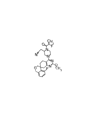 C=C(F)C(=O)N1CCN(c2nc(OC)nc3c2CCC2(COCc4cccc(F)c42)C3)CC1CC#N